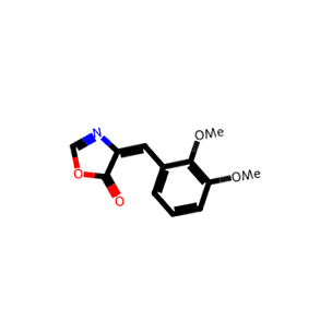 COc1cccc(C=C2N=COC2=O)c1OC